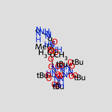 COC(=O)[C@H](CNC(=O)c1ccc2c(cnn2CCCNC2=NCCCN2)c1)NS(=O)(=O)c1c(C)cc(OCCCC(=O)NCCNC(=O)C(CCC(=O)OC(C)(C)C)NC(=O)[C@H](CCC(=O)OC(C)(C)C)NC(=O)CN2CCN(CC(=O)OC(C)(C)C)CCN(CC(=O)OC(C)(C)C)CCN(CC(=O)OC(C)(C)C)CC2)cc1C